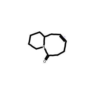 O=C1CC/C=C\CC2CCCCN12